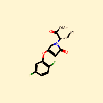 COC(=O)[C@H](CC(C)C)N1CC(Oc2cc(F)ccc2F)=CC1=O